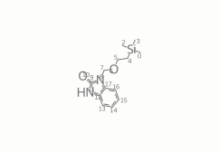 C[Si](C)(C)CCOCn1c(=O)[nH]c2ccccc21